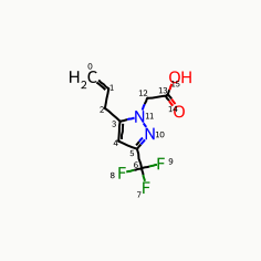 C=CCc1cc(C(F)(F)F)nn1CC(=O)O